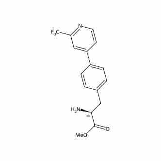 COC(=O)[C@@H](N)Cc1ccc(-c2ccnc(C(F)(F)F)c2)cc1